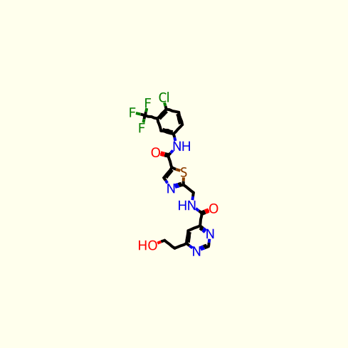 O=C(NCc1ncc(C(=O)Nc2ccc(Cl)c(C(F)(F)F)c2)s1)c1cc(CCO)ncn1